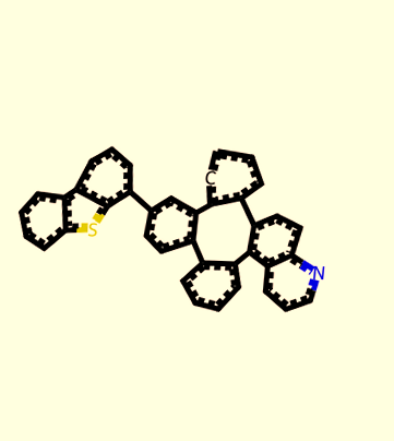 c1ccc2c(c1)-c1cc(-c3cccc4c3sc3ccccc34)ccc1-c1ccccc1-c1c-2ccc2ncccc12